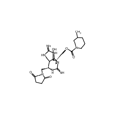 CC1CCCN(C(=O)O[C@H]2CN3C(=N)N[C@@H](CN4C(=O)CCC4=O)C4NC(=N)NC43C2O)C1